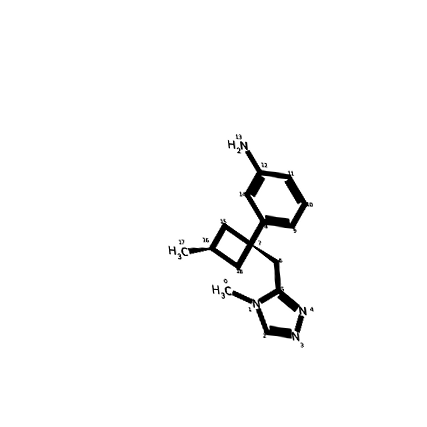 Cn1cnnc1C[C@]1(c2cccc(N)c2)C[C@H](C)C1